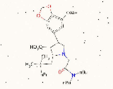 CCCCN(CCCC)C(=O)CN1CC(c2cc(OC)c3c(c2)OCO3)C(C(=O)O)C1CC(C)(C)CCC